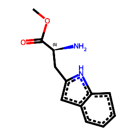 COC(=O)[C@@H](N)Cc1cc2ccccc2[nH]1